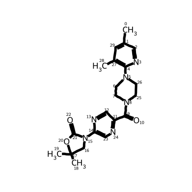 Cc1cnc(N2CCN(C(=O)c3cnc(N4CC(C)(C)OC4=O)cn3)CC2)c(C)c1